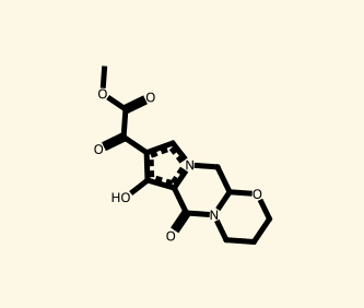 COC(=O)C(=O)c1cn2c(c1O)C(=O)N1CCCOC1C2